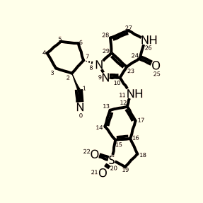 N#C[C@H]1CCCC[C@@H]1n1nc(Nc2ccc3c(c2)CCS3(=O)=O)c2c(=O)[nH]ccc21